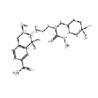 CO[C@@H]1Cc2ccc(C(N)=O)cc2C(C)(C)[C@H]1NCCN(CC1CCC(F)(F)CC1)C(=O)OC(C)(C)C